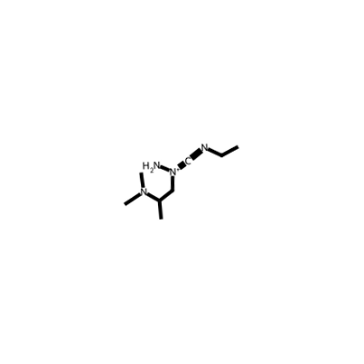 CCN=C=[N+](N)CC(C)N(C)C